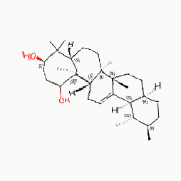 C[C@@H]1[C@H]2C3=CC[C@@H]4[C@@]5(C)C(O)C[C@@H](O)C(C)(C)[C@@H]5CC[C@@]4(C)[C@]3(C)CC[C@H]2CC[C@H]1C